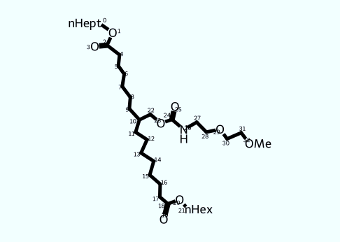 CCCCCCCOC(=O)CCCCCCC(CCCCCCCC(=O)OCCCCCC)COC(=O)NCCOCCOC